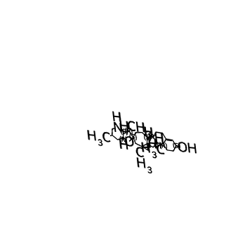 CC1CN[C@H]2[C@@H](C)[C@@]3(CC[C@H]4[C@@H]5CCC6=C[C@@H](O)CC[C@]6(C)[C@H]5CC45CC5(C)C3)O[C@@H]2C1